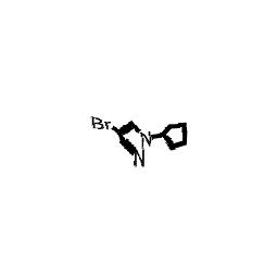 Brc1cnn(C2CCCC2)c1